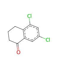 O=C1CCCc2c(Cl)cc(Cl)cc21